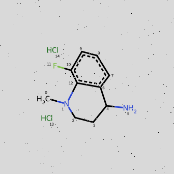 CN1CCC(N)c2cccc(F)c21.Cl.Cl